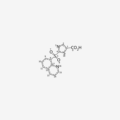 O=C(O)c1cnc(S(=O)(=O)c2cccc3cccnc23)s1